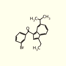 CCc1cc(C(=O)c2cccc(Br)c2)c2cc(C(C)C)cccc1-2